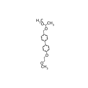 COCCOc1ccc(-c2ccc(COC(C)OC)cc2)cc1